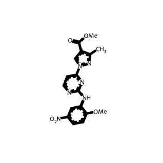 COC(=O)c1cn(-c2ccnc(Nc3cc([N+](=O)[O-])ccc3OC)n2)nc1C